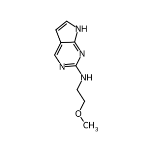 COCCNc1ncc2cc[nH]c2n1